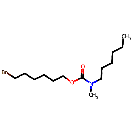 CCCCCCN(C)C(=O)OCCCCCCBr